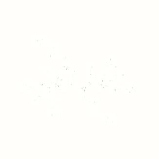 CC=CCN(CCN(CC=CC)C(=S)NP(=O)(CC)CC)C(=S)NP(=O)(CC)CC